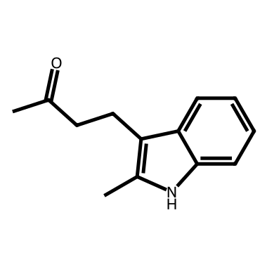 CC(=O)CCc1c(C)[nH]c2ccccc12